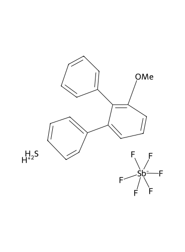 COc1cccc(-c2ccccc2)c1-c1ccccc1.S.[F][Sb-]([F])([F])([F])([F])[F].[H+]